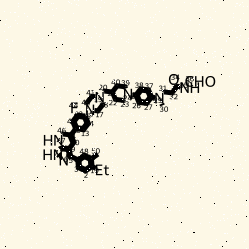 CCc1ccc(-c2n[nH]c3c2C=C(c2ccc(N4CCN(CC5CCN(c6ccc(N(C)CCC(=O)NC=O)cc6)CC5)CC4)c(F)c2)CN3)cc1C